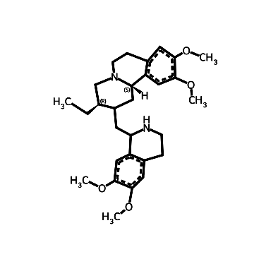 CC[C@H]1CN2CCc3cc(OC)c(OC)cc3[C@@H]2CC1CC1NCCc2cc(OC)c(OC)cc21